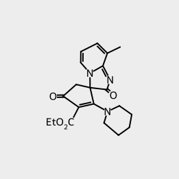 CCOC(=O)C1=C(N2CCCCC2)C2(CC1=O)C(=O)N=C1C(C)=CC=CN12